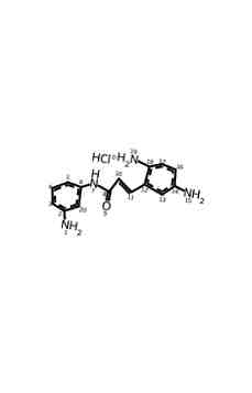 Cl.Nc1cccc(NC(=O)C=Cc2cc(N)ccc2N)c1